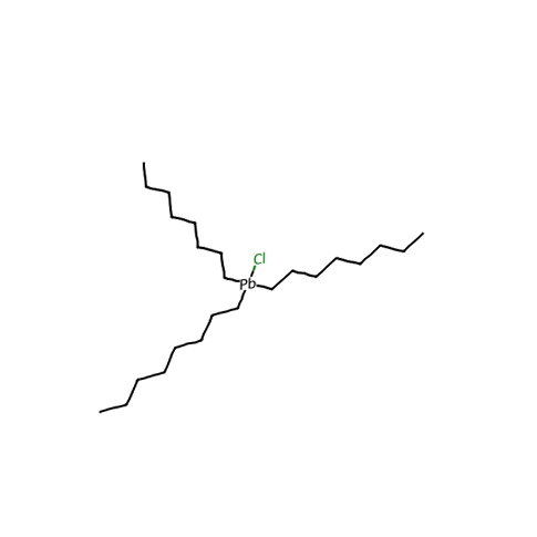 CCCCCCC[CH2][Pb]([Cl])([CH2]CCCCCCC)[CH2]CCCCCCC